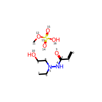 C=CC(=O)NN(CC)CCO.COS(=O)(=O)O